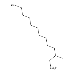 CCC(C)CCCCCCCCCC(C)CC(=O)O